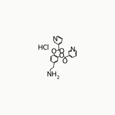 Cl.NCCc1ccc(OC(=O)c2cccnc2)c(OC(=O)c2cccnc2)c1